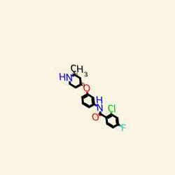 C[C@@H]1C[C@H](Oc2cccc(NC(=O)c3ccc(F)cc3Cl)c2)CCN1